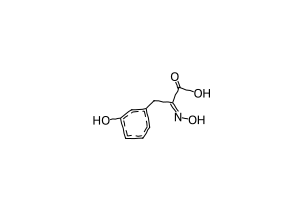 O=C(O)C(Cc1cccc(O)c1)=NO